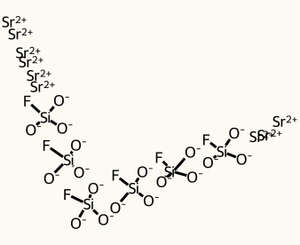 [O-][Si]([O-])([O-])F.[O-][Si]([O-])([O-])F.[O-][Si]([O-])([O-])F.[O-][Si]([O-])([O-])F.[O-][Si]([O-])([O-])F.[O-][Si]([O-])([O-])F.[Sr+2].[Sr+2].[Sr+2].[Sr+2].[Sr+2].[Sr+2].[Sr+2].[Sr+2].[Sr+2]